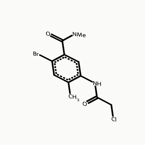 CNC(=O)c1cc(NC(=O)CCl)c(C)cc1Br